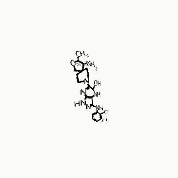 C[C@@H]1OCC2(CCN(C3=Nc4[nH]nc(Nc5cccc(Cl)c5Cl)c4NC3O)CC2)[C@@H]1N